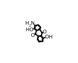 Nc1ccc2c(c1O)C(=O)c1cccc(O)c1C2=O